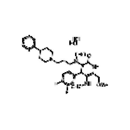 COCC1=C(NC=O)C(c2ccc(F)c(F)c2)N(N(C=O)CCCN2CCC(c3ccccn3)CC2)C(=O)N1.Cl.Cl